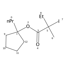 CCCC1(OC(=O)C(C)(I)CC)CCCC1